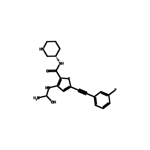 NC(O)Nc1cc(C#Cc2cccc(F)c2)sc1C(=O)N[C@H]1CCCNC1